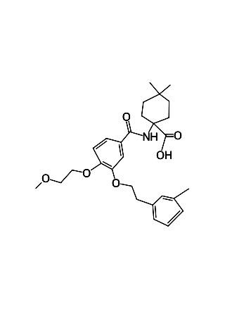 COCCOc1ccc(C(=O)NC2(C(=O)O)CCC(C)(C)CC2)cc1OCCc1cccc(C)c1